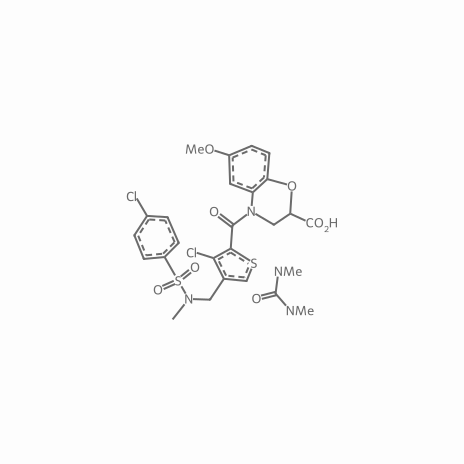 CNC(=O)NC.COc1ccc2c(c1)N(C(=O)c1scc(CN(C)S(=O)(=O)c3ccc(Cl)cc3)c1Cl)CC(C(=O)O)O2